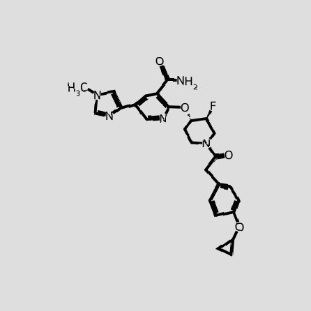 Cn1cnc(-c2cnc(O[C@H]3CCN(C(=O)Cc4ccc(OC5CC5)cc4)C[C@@H]3F)c(C(N)=O)c2)c1